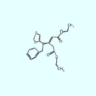 CCOC(=O)C=C(CC(=O)OCC)N(Cc1ccccc1)C1=COCO1